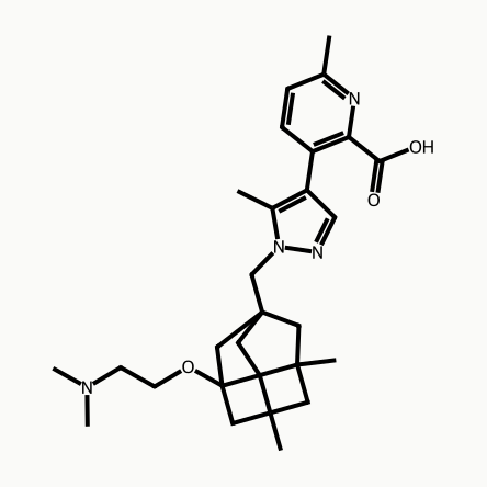 Cc1ccc(-c2cnn(CC34CC5(C)CC6(C)CC(OCCN(C)C)(C3)C56C4)c2C)c(C(=O)O)n1